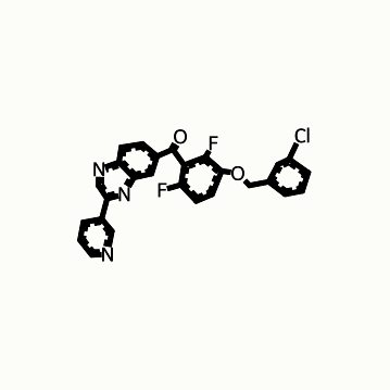 O=C(c1ccc2ncc(-c3cccnc3)nc2c1)c1c(F)ccc(OCc2cccc(Cl)c2)c1F